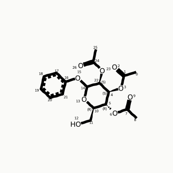 CC(=O)O[C@H]1[C@H](OC(C)=O)[C@@H](CO)OC(Oc2ccccc2)[C@H]1OC(C)=O